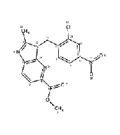 COC(=O)c1ccc2nc(C)n(Cc3ccc([N+](=O)[O-])cc3Cl)c2n1